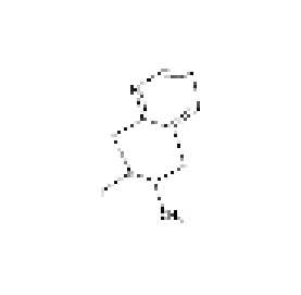 CC1Cc2cccnc2CN1I